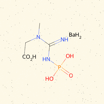 CN(CC(=O)O)C(=N)NP(=O)(O)O.[BaH2]